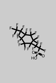 O=S(=O)(O)C(F)(F)C(F)(F)C1(F)C(F)(F)C(F)(F)C(F)(C(F)(F)C(F)(F)F)C(F)(F)C1(F)F